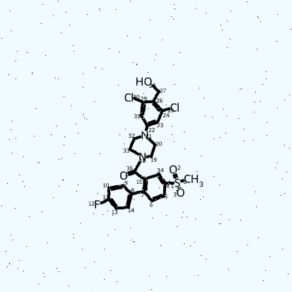 CS(=O)(=O)c1ccc(-c2ccc(F)cc2)c(C(=O)N2CCN(c3cc(Cl)c(CO)c(Cl)c3)CC2)c1